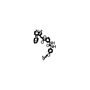 CN(C)CCOc1ccc(NC(=O)Nc2ccc3c(c2)C(=O)C(=Cc2cn(C)c4nccc(N5CC6CCC(C5)O6)c24)O3)cc1